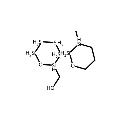 C[SiH]1CCCO[SiH2]1.OC[SiH]1O[SiH2][SiH2][SiH2][SiH2]1